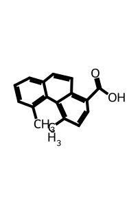 Cc1cccc2ccc3c(C(=O)O)ccc(C)c3c12